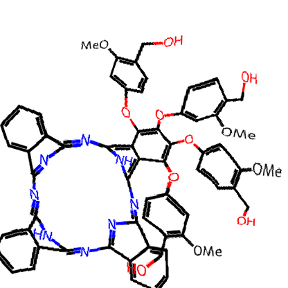 COc1cc(Oc2c(Oc3ccc(CO)c(OC)c3)c(Oc3ccc(CO)c(OC)c3)c3c4nc5nc(nc6[nH]c(nc7nc(nc([nH]4)c3c2Oc2ccc(CO)c(OC)c2)-c2ccccc2-7)c2ccccc62)-c2ccccc2-5)ccc1CO